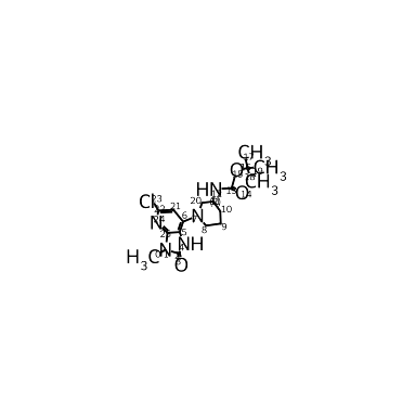 Cn1c(=O)[nH]c2c(N3CCC[C@@H](NC(=O)OC(C)(C)C)C3)cc(Cl)nc21